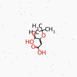 CC(C)(C)OC(=CC(=O)O)C(=O)O